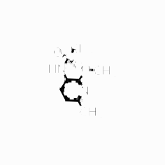 COc1nc(C)ccc1NS(C)(=O)=O